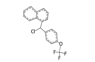 FC(F)(F)Oc1ccc(C(Cl)c2cccc3ccccc23)cc1